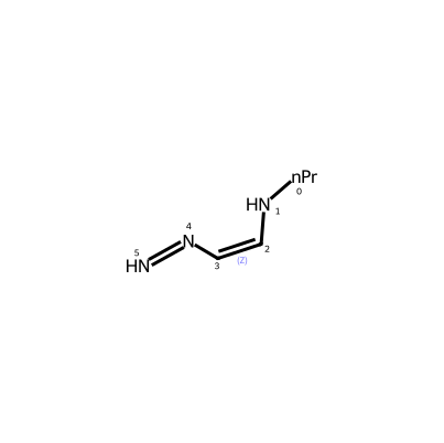 CCCN/C=C\N=N